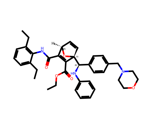 CCOC(=O)C1=C(C(=O)Nc2c(CC)cccc2CC)[C@H]2C=C[C@]1([C@H](Nc1ccccc1)c1ccc(CN3CCOCC3)cc1)O2